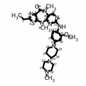 CCc1nc2c(s1)N(C)c1nc(Nc3ccc(N4CCC(N5CCN(C)CC5)CC4)cc3OC)ncc1N(C)C2=O